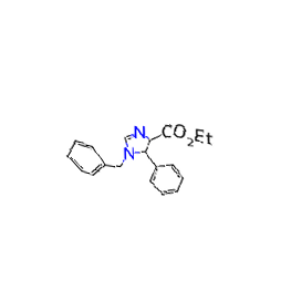 CCOC(=O)C1N=CN(Cc2ccccc2)C1c1ccccc1